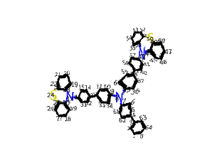 c1ccc(-c2ccc(N(c3ccc(-c4ccc(N5c6ccccc6Sc6ccccc65)cc4)cc3)c3ccc(-c4ccc(N5c6ccccc6Sc6ccccc65)cc4)cc3)cc2)cc1